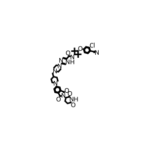 CC1(C)[C@H](NC(=O)c2cnc(N3CCN(CC4CCN(c5ccc6c(c5)C(=O)N(C5CCC(=O)NC5=O)C6=O)CC4)CC3)cn2)C(C)(C)[C@H]1Oc1ccc(C#N)c(Cl)c1